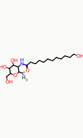 CC1OC(CO)C(O)C(O)C1NC(=O)CCCCCCCCCCCO